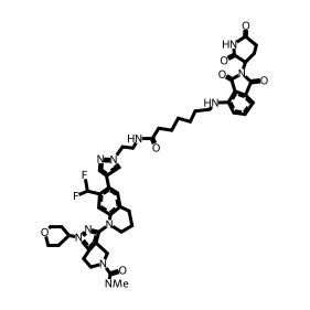 CNC(=O)N1CCc2c(c(N3CCCc4cc(-c5cnn(CCNC(=O)CCCCCCNc6cccc7c6C(=O)N(C6CCC(=O)NC6=O)C7=O)c5)c(C(F)F)cc43)nn2C2CCOCC2)C1